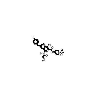 COCC(=O)Nc1nc(C(=O)OC2CCN(S(C)(=O)=O)CC2)c(O)c2ncc(Cc3ccc(F)cc3)cc12